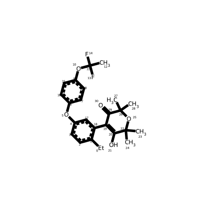 CCc1ccc(Oc2ccc(OC(C)(F)F)cc2)cc1C1=C(O)C(C)(C)OC(C)(C)C1=O